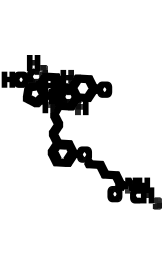 CNC(=O)CCCCOc1cccc(CCC[C@@H]2C[C@H]3CC(=O)CC[C@]3(C)[C@H]3CC[C@]4(C)[C@@H](O)CC[C@H]4[C@H]23)c1